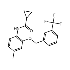 Cc1ccc(NC(=O)C2CC2)c(OCc2cccc(C(F)(F)F)c2)c1